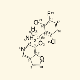 C[C@@H](Oc1c(N)ncc2ccoc12)c1c(Cl)ccc(F)c1Cl